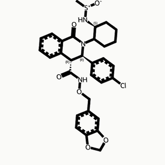 C[S+]([O-])N[C@H]1CCCCC1N1C(=O)c2ccccc2[C@@H](C(=O)NOCc2ccc3c(c2)OCO3)[C@@H]1c1ccc(Cl)cc1